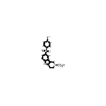 O=C(O)N1CCc2oc3ccc(S(=O)(=O)c4ccc(F)cc4)cc3c2C1